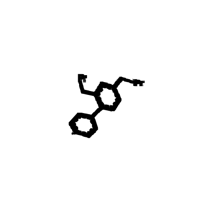 CC(C)Cc1ccc(-c2cc[c]cc2)c(CC(C)C)c1